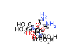 CCOCC(O)(C(COCCN)N(CC(=O)O)CC(=O)O)C(COCCN)N(CC(=O)O)CC(=O)O